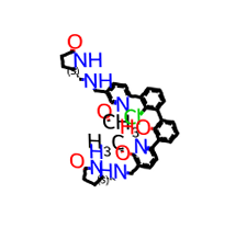 COc1nc(-c2cccc(-c3cccc(-c4ccc(CNC[C@@H]5CCC(=O)N5)c(OC)n4)c3Cl)c2O)ccc1CNC[C@@H]1CCC(=O)N1